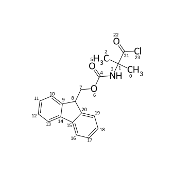 CC(C)(NC(=O)OCC1c2ccccc2-c2ccccc21)C(=O)Cl